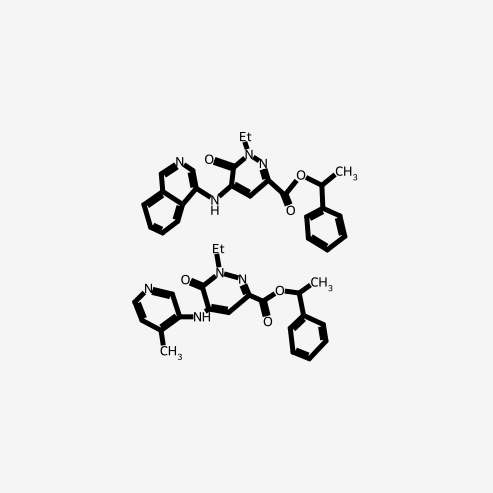 CCn1nc(C(=O)OC(C)c2ccccc2)cc(Nc2cncc3ccccc23)c1=O.CCn1nc(C(=O)OC(C)c2ccccc2)cc(Nc2cnccc2C)c1=O